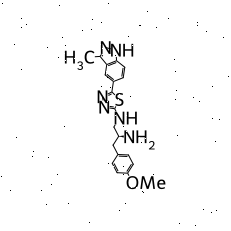 COc1ccc(C[C@H](N)CNc2nnc(-c3ccc4[nH]nc(C)c4c3)s2)cc1